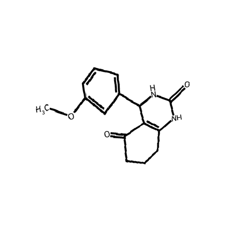 COc1cccc(C2NC(=O)NC3=C2C(=O)CCC3)c1